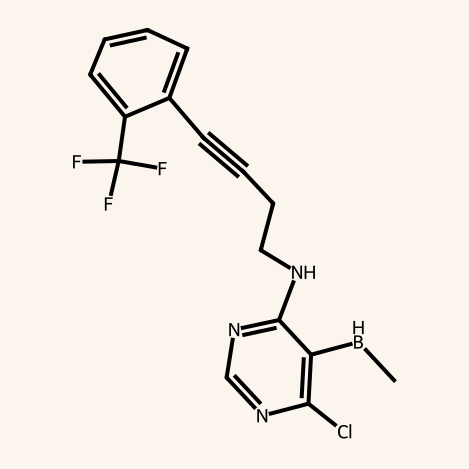 CBc1c(Cl)ncnc1NCCC#Cc1ccccc1C(F)(F)F